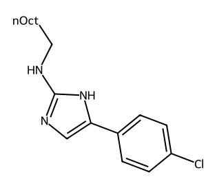 CCCCCCCCCNc1ncc(-c2ccc(Cl)cc2)[nH]1